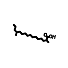 CCCC(C)CCCCCCCCCCC(C)C(=O)O